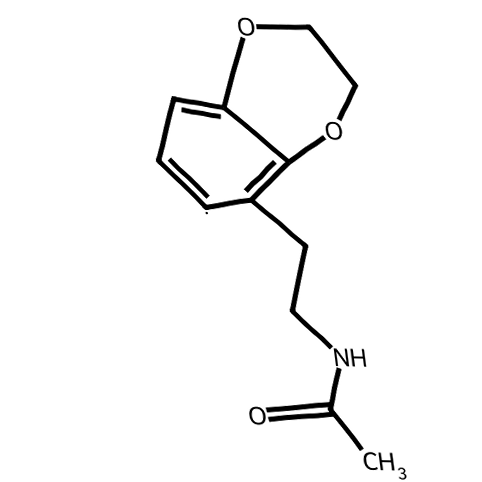 CC(=O)NCCc1[c]ccc2c1OCCO2